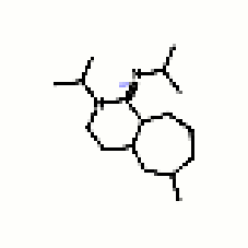 CC1CCCC2/C(=N\C(C)C)N(C(C)C)CCC2C1